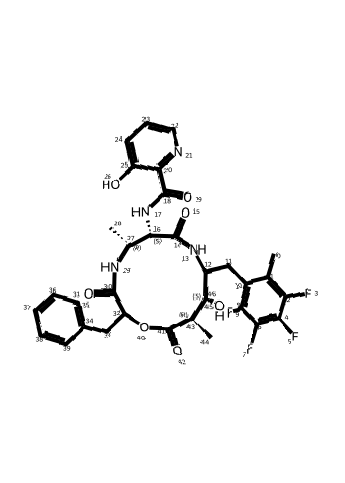 Cc1c(F)c(F)c(F)c(F)c1CC1NC(=O)[C@@H](NC(=O)c2ncccc2O)[C@@H](C)NC(=O)C(Cc2ccccc2)OC(=O)[C@H](C)[C@@H]1O